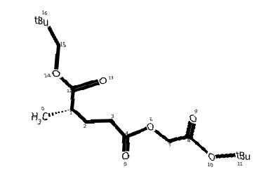 C[C@@H](CCC(=O)OCC(=O)OC(C)(C)C)C(=O)OCC(C)(C)C